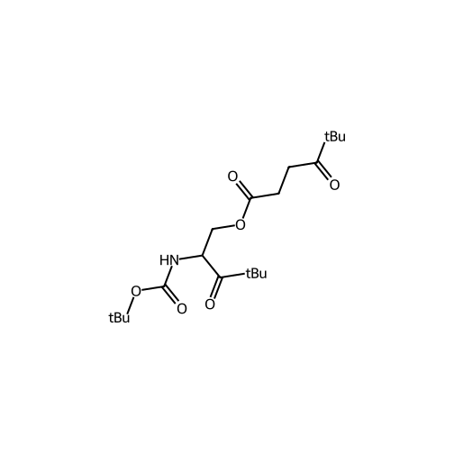 CC(C)(C)OC(=O)NC(COC(=O)CCC(=O)C(C)(C)C)C(=O)C(C)(C)C